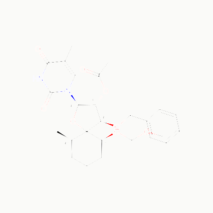 COCO[C@H]1CCC[C@@H](C)C12O[C@@H](n1cc(C)c(=O)[nH]c1=O)[C@H](OC(C)=O)[C@H]2OCc1ccccc1